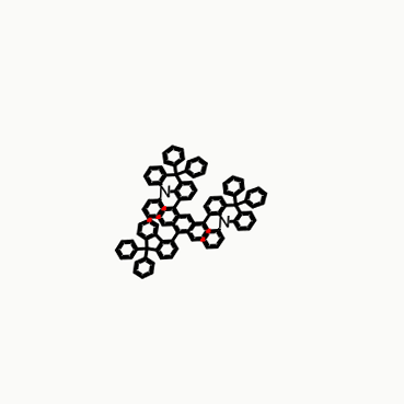 c1ccc(N2c3ccccc3C(c3ccccc3)(c3ccccc3)c3cccc(-c4cccc5c(-c6cccc7c6-c6ccccc6C7(c6ccccc6)c6ccccc6)c6cccc(-c7cccc8c7N(c7ccccc7)c7ccccc7C8(c7ccccc7)c7ccccc7)c6cc45)c32)cc1